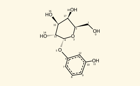 OC[C@H]1O[C@H](Oc2cccc(O)c2)[C@H](O)[C@@H](O)[C@H]1O